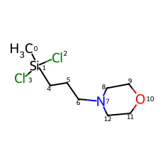 C[Si](Cl)(Cl)CCCN1CCOCC1